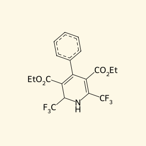 CCOC(=O)C1=C(C(F)(F)F)NC(C(F)(F)F)C(C(=O)OCC)=C1c1ccccc1